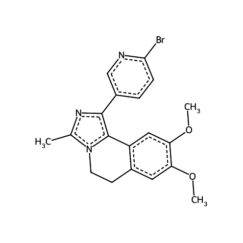 COc1cc2c(cc1OC)-c1c(-c3ccc(Br)nc3)nc(C)n1CC2